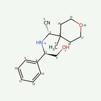 CC1([C@@H](C#N)N[C@@H](CO)c2ccccc2)CCOCC1